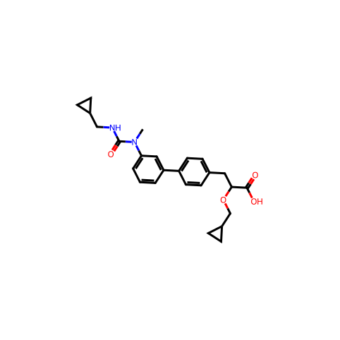 CN(C(=O)NCC1CC1)c1cccc(-c2ccc(CC(OCC3CC3)C(=O)O)cc2)c1